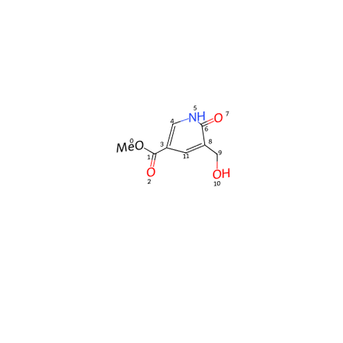 COC(=O)c1c[nH]c(=O)c(CO)c1